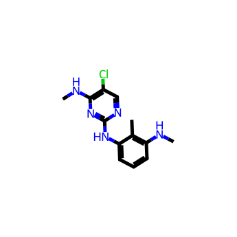 CNc1cccc(Nc2ncc(Cl)c(NC)n2)c1C